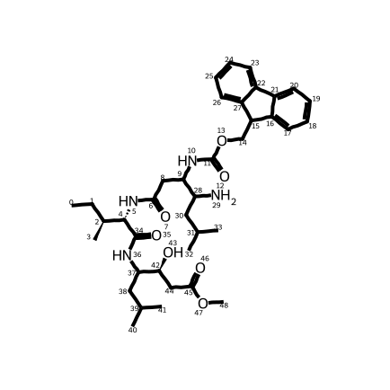 CC[C@H](C)[C@H](NC(=O)CC(NC(=O)OCC1c2ccccc2-c2ccccc21)C(N)CC(C)C)C(=O)NC(CC(C)C)[C@@H](O)CC(=O)OC